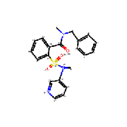 CN(Cc1ccccc1)C(=O)c1ccccc1S(=O)(=O)N(C)c1cccnc1